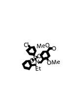 CC[C@@H](c1ccccc1)N(Cc1ccc(C(=O)OC)cc1OC)S(=O)(=O)c1ccc(Cl)cc1